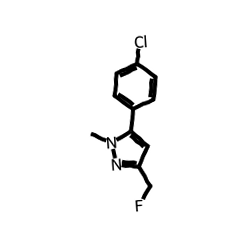 Cn1nc(CF)cc1-c1ccc(Cl)cc1